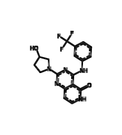 O=c1[nH]ccc2nc(N3CCC(O)C3)nc(Nc3cccc(C(F)(F)F)c3)c12